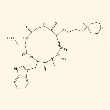 CC(C)[C@H]1C(=O)NC(CCCC[N+]2(C)CCOCC2)C(=O)NCC(=O)NC(CC(=O)O)C(=O)NC(Cc2c[nH]c3ccccc23)C(=O)N1C